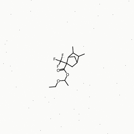 CCOC(C)OC(=O)C1(C(F)(F)F)CC2CC1C(C)C2C